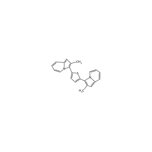 Cc1cc2ccccn2c1-c1ccc(-c2c(C)cc3ccccn23)s1